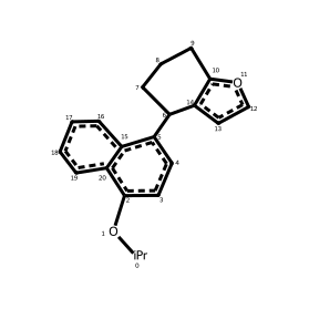 CC(C)Oc1ccc(C2CCCc3occc32)c2ccccc12